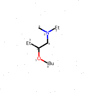 CCC(C)OC(CC)CN(C)CC